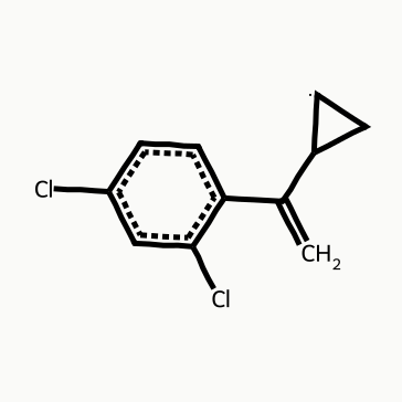 C=C(c1ccc(Cl)cc1Cl)C1[CH]C1